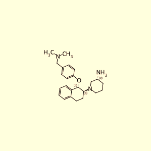 CN(C)Cc1ccc(O[C@H]2c3ccccc3CC[C@@H]2N2CCC[C@@H](N)C2)cc1